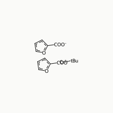 C[C](C)(C)[Cr+2].O=C([O-])c1ccco1.O=C([O-])c1ccco1